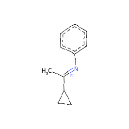 C/C(=N\c1ccccc1)C1CC1